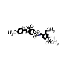 CCc1cc(NC(C)=O)ccc1/C=C/S(=O)(=O)N1CCC2(CC1)N=C(C1CCC(C)CC1)NC2=O